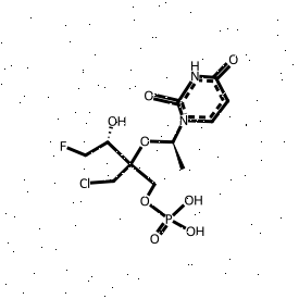 C[C@@H](OC(CCl)(COP(=O)(O)O)[C@@H](O)CF)n1ccc(=O)[nH]c1=O